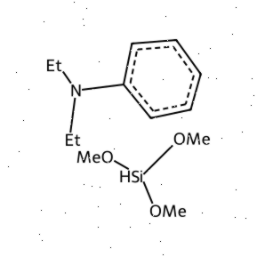 CCN(CC)c1ccccc1.CO[SiH](OC)OC